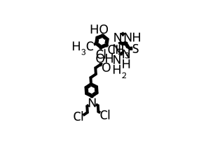 Cc1cc(O)cc(C)c1Cl.Nc1nc2nc[nH]c2c(=S)[nH]1.O=C(O)CCCc1ccc(N(CCCl)CCCl)cc1